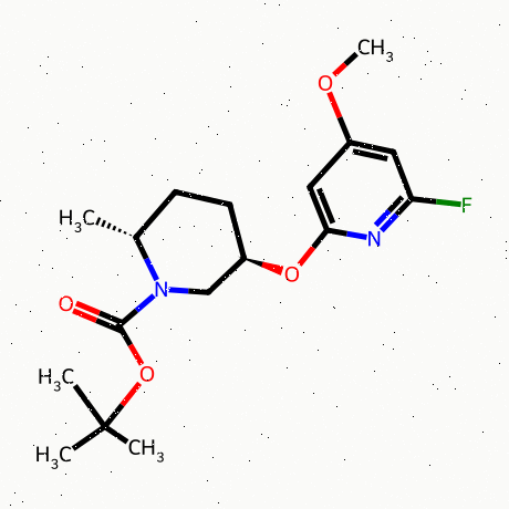 COc1cc(F)nc(O[C@@H]2CC[C@@H](C)N(C(=O)OC(C)(C)C)C2)c1